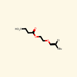 CCCCC(=COCCOC(=O)CCC(=O)O)CC